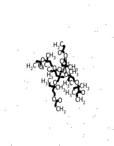 C=CC(=O)OCCC(C)(CC)OCC(COC(C)(CC)CCOC(=O)C=C)(COC(C)(CC)CCOC(C)(CC)C(=O)C=C)CC(C)(CC)OCCC(C)(C)OC(=O)C=C